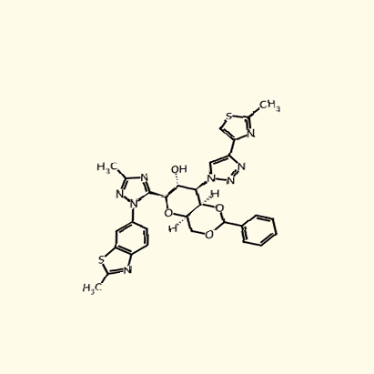 Cc1nc([C@@H]2O[C@@H]3COC(c4ccccc4)O[C@@H]3[C@H](n3cc(-c4csc(C)n4)nn3)[C@H]2O)n(-c2ccc3nc(C)sc3c2)n1